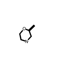 C=C1C[N]CCO1